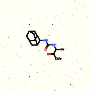 COC(=O)C(NC(=O)NC1C2CC3CC(C2)CC1C3)C(C)C